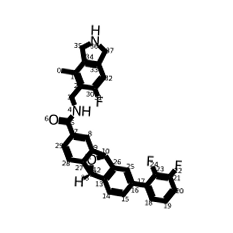 Cc1c(CNC(=O)C2=CC3C4O[C@H](c5ccc(-c6cccc(F)c6F)cc54)C3C=C2)c(F)cc2c1CNC2